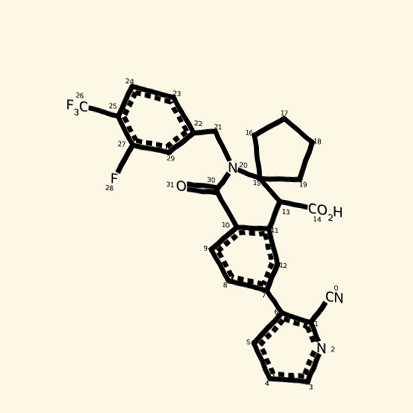 N#Cc1ncccc1-c1ccc2c(c1)C(C(=O)O)C1(CCCC1)N(Cc1ccc(C(F)(F)F)c(F)c1)C2=O